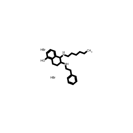 Br.Br.CCCCCCNC1c2cccc(O)c2CCC1NCCc1ccccc1